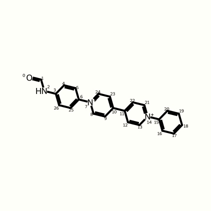 O=CNc1ccc(-[n+]2ccc(-c3cc[n+](-c4ccccc4)cc3)cc2)cc1